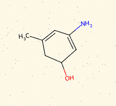 CC1=CC(N)=CC(O)C1